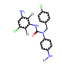 CCNc1ccc(N(Cc2ccc(Cl)cc2)C(=O)Nc2c(CC)c(N)cc(Cl)c2CC)cc1